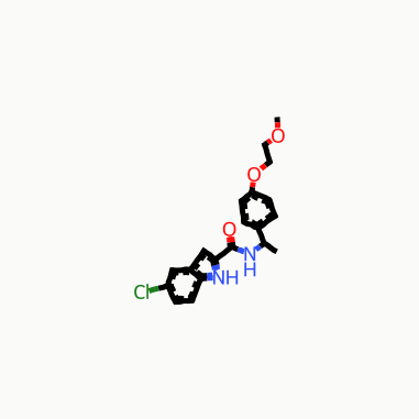 COCCOc1ccc(C(C)NC(=O)c2cc3cc(Cl)ccc3[nH]2)cc1